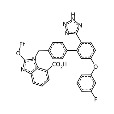 CCOc1nc2cccc(C(=O)O)c2n1Cc1ccc(-c2cc(Oc3cccc(F)c3)ccc2-c2nn[nH]n2)cc1